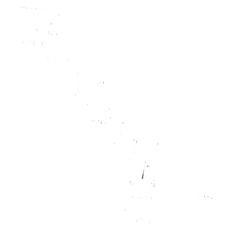 COCCCn1c([C@@H]2CCCN(C(=O)C[C@H](N)Cc3ccc(-c4ccc(C(=O)NC(C)(C)CO)s4)cc3)C2)nc2ccccc21